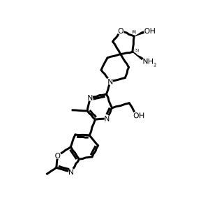 Cc1nc2ccc(-c3nc(CO)c(N4CCC5(CC4)CO[C@@H](O)[C@H]5N)nc3C)cc2o1